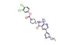 Cn1cc(-c2cnc(N)c(C(=O)N[C@@H]3CCN(C(=O)Oc4ccc(Cl)c(Cl)c4)C3)c2)cn1